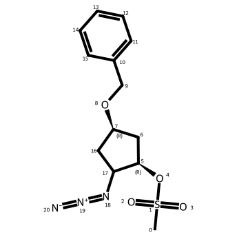 CS(=O)(=O)O[C@@H]1C[C@H](OCc2ccccc2)CC1N=[N+]=[N-]